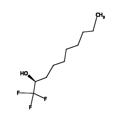 CCCCCCCC[C@H](O)C(F)(F)F